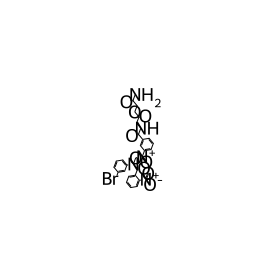 NC(=O)COC(=O)CNC(=O)c1cccc([N+](=O)ON(C(=O)c2ccccc2[N+](=O)[O-])c2cccc(Br)c2)c1